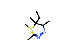 CCC1(C)C(C)N=[N+]=C(C)[SH]1C